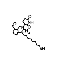 CN(Cc1c(C=O)cccc1SCCCCCCCCS)C1CCC(=O)NC1=O